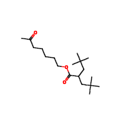 CC(=O)CCCCCOC(=O)C(CC(C)(C)C)CC(C)(C)C